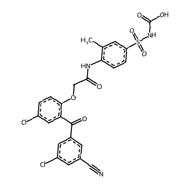 Cc1cc(S(=O)(=O)NC(=O)O)ccc1NC(=O)COc1ccc(Cl)cc1C(=O)c1cc(Cl)cc(C#N)c1